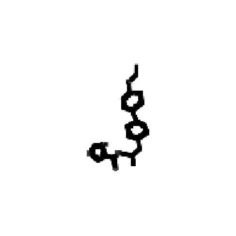 CCOc1ccc(-c2ccc(CC(C)NC(=O)c3cnc[nH]3)cc2)cc1